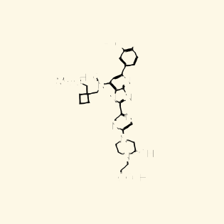 COCC1(CN(C)c2cc(-c3ccc(F)c(C(F)(F)F)c3)nc3nc(-c4cnc(N5CCN(CCC(=O)O)[C@@H](C)C5)cn4)[nH]c23)CCC1